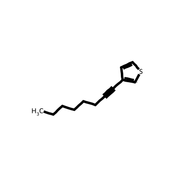 CCCCCCC#Cc1[c]scc1